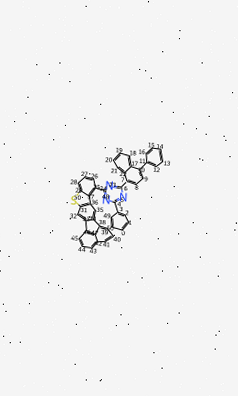 c1ccc(-c2nc(-c3ccc(-c4ccccc4)c4ccccc34)nc(-c3cccc4sc5cc6c(cc5c34)-c3cccc4cccc-6c34)n2)cc1